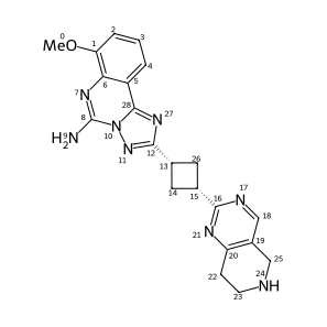 COc1cccc2c1nc(N)n1nc([C@H]3C[C@@H](c4ncc5c(n4)CCNC5)C3)nc21